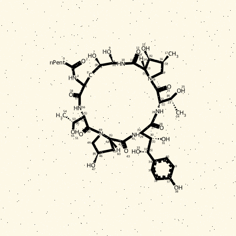 CCCCCC(=O)NC1C[C@@H](O)[C@@H](O)NC(=O)[C@@H]2[C@@H](O)[C@@H](C)CN2C(=O)[C@H]([C@@H](C)O)NC(=O)[C@H]([C@H](O)[C@@H](O)c2ccc(O)cc2)NC(=O)[C@@H]2C[C@@H](O)CN2C(=O)[C@H]([C@@H](C)O)NC1=O